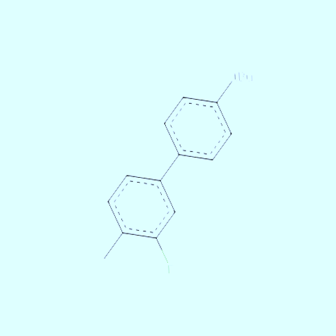 Cc1ccc(-c2ccc(C(C)(C)C)cc2)cc1F